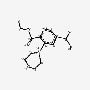 CCOC(=O)c1ncc(C(F)F)cc1N1CCOCC1